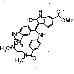 COC(=O)c1ccc2c(c1)NC(=O)C2=C(Nc1ccc(C(=O)N(C)CCN(C)C)cc1)c1ccc2[nH]ccc2c1